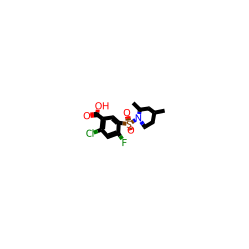 CC1CCN(S(=O)(=O)c2cc(C(=O)O)c(Cl)cc2F)C(C)C1